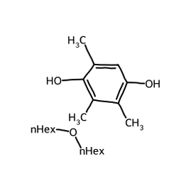 CCCCCCOCCCCCC.Cc1cc(O)c(C)c(C)c1O